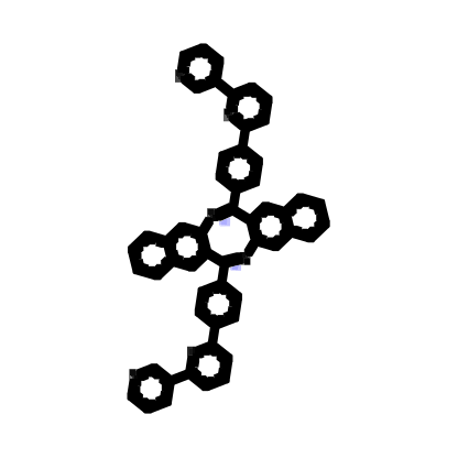 c1cncc(-c2cccc(-c3ccc(/C4=N/c5cc6ccccc6cc5/C(c5ccc(-c6cccc(-c7cccnc7)n6)cc5)=N\c5cc6ccccc6cc54)cc3)n2)c1